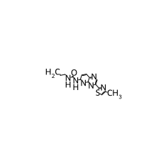 C=CCNC(=O)Nc1ccc2ncc(-c3nc(C)cs3)nc2n1